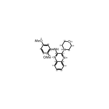 COc1ccc(OC)c(Nc2nc3ccccc3nc2N2CCOCC2)c1